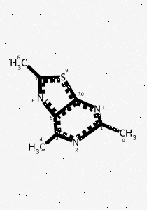 Cc1nc(C)c2nc(C)sc2n1